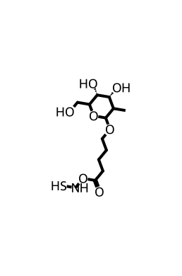 CC1C(OCCCCC(=O)ONS)OC(CO)[C@H](O)[C@@H]1O